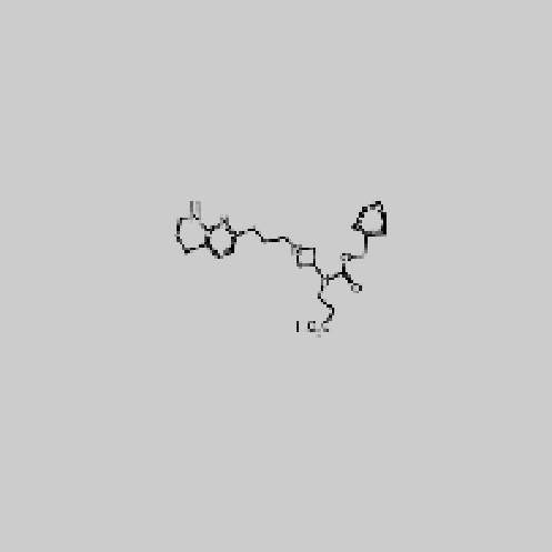 O=C(O)CCN(C(=O)OCc1ccccc1)C1CN(CCCc2ccc3c(n2)NCCC3)C1